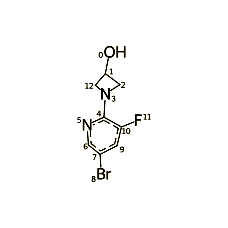 OC1CN(c2ncc(Br)cc2F)C1